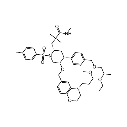 CCO[C@H](C)COCc1ccc([C@H]2C[C@@H](CC(C)(C)C(=O)NC)N(S(=O)(=O)c3ccc(C)cc3)C[C@@H]2OCc2ccc3c(c2)N(CCCOC)CCO3)cc1